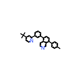 Cc1ccc(-c2ccc(-c3cccc(-c4cc(C(C)(C)C)ccn4)c3)c3ccncc23)cc1